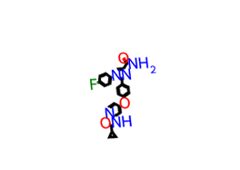 NC(=O)c1cn(-c2ccc(F)cc2)c(-c2ccc(Oc3ccnc(NC(=O)C4CC4)c3)cc2)n1